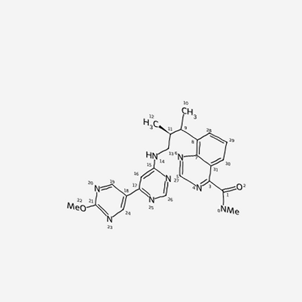 CNC(=O)c1ncnc2c(C(C)[C@H](C)CNc3cc(-c4cnc(OC)nc4)ncn3)cccc12